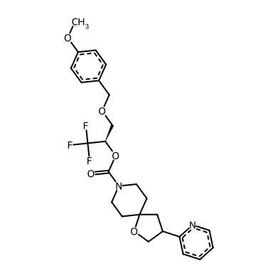 COc1ccc(COC[C@@H](OC(=O)N2CCC3(CC2)CC(c2ccccn2)CO3)C(F)(F)F)cc1